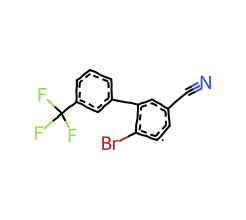 N#Cc1c[c]c(Br)c(-c2cccc(C(F)(F)F)c2)c1